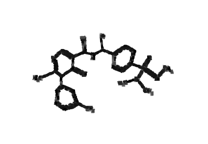 CN=S(=O)(c1ccc(C(NC(=O)C2=CN=C(C)C(c3cccc(C(F)(F)F)c3)C2=O)C(C)C)cc1)N(C)C